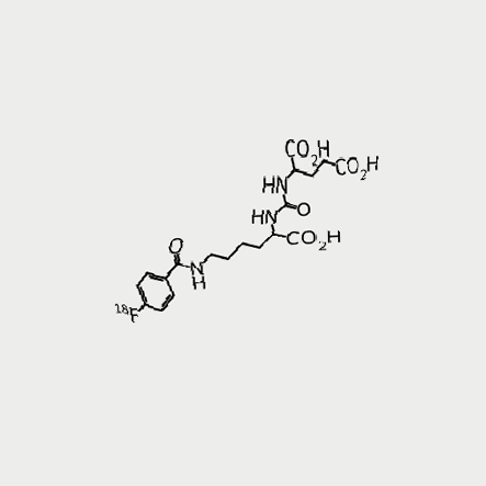 O=C(O)CCC(NC(=O)NC(CCCCNC(=O)c1ccc([18F])cc1)C(=O)O)C(=O)O